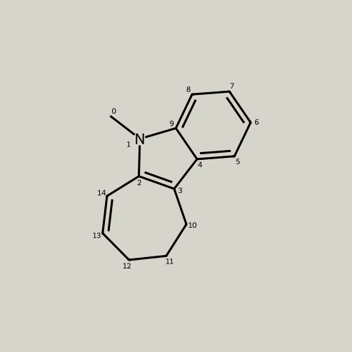 Cn1c2c(c3ccccc31)CCCC=C2